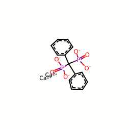 O=P([O-])([O-])C(c1ccccc1)(c1ccccc1)P(=O)([O-])[O-].[Ca+2].[Ca+2]